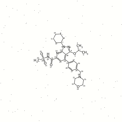 CC(C)Oc1nn(C2CCCCC2)c2nc(C(=O)NS(C)(=O)=O)cc(-c3ccc(CN4CCOCC4)cc3)c12